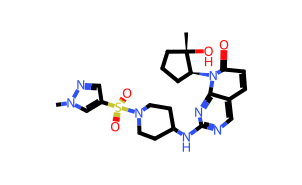 Cn1cc(S(=O)(=O)N2CCC(Nc3ncc4ccc(=O)n([C@H]5CCC[C@]5(C)O)c4n3)CC2)cn1